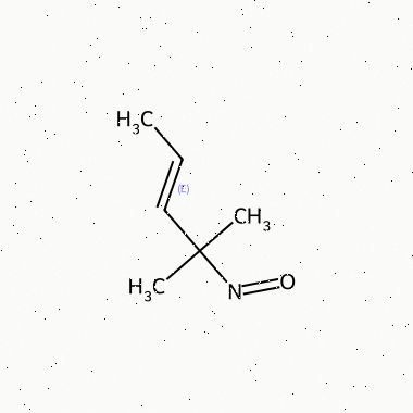 C/C=C/C(C)(C)N=O